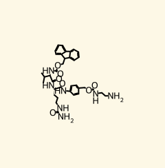 CC(C)[C@H](NC(=O)OCC1c2ccccc2-c2ccccc21)C(=O)N[C@@H](CCCNC(N)=O)C(=O)Nc1ccc(COC(=O)NCCN)cc1